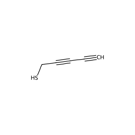 C#CC#CCS